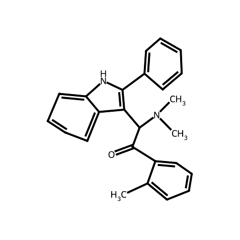 Cc1ccccc1C(=O)C(c1c(-c2ccccc2)[nH]c2ccccc12)N(C)C